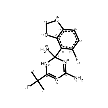 CC(C)(F)C1=NC(N)=NC(N)(c2c(F)ccc3c2OCO3)N1